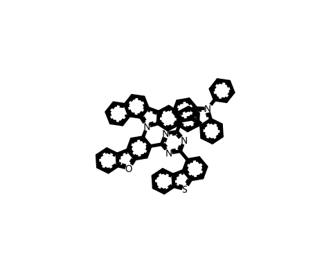 c1ccc(-n2c3ccccc3c3c(-c4nc(-c5cc6oc7ccccc7c6cc5-n5c6cc7ccccc7cc6c6ccc7ccccc7c65)nc(-c5cccc6sc7ccccc7c56)n4)cccc32)cc1